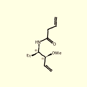 C=CCC(=O)N[C@H](CC)[C@H](C=C)OC